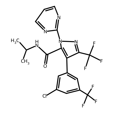 CC(C)NC(=O)c1c(-c2cc(Cl)cc(C(F)(F)F)c2)c(C(F)(F)F)nn1-c1ncccn1